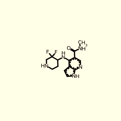 CNC(=O)c1cnc2[nH]ccc2c1NC1CCNCC1(F)F